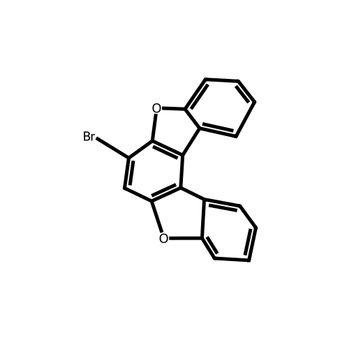 Brc1cc2oc3ccccc3c2c2c1oc1ccccc12